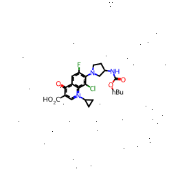 CCCCOC(=O)NC1CCN(c2c(F)cc3c(=O)c(C(=O)O)cn(C4CC4)c3c2Cl)C1